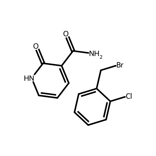 Clc1ccccc1CBr.NC(=O)c1ccc[nH]c1=O